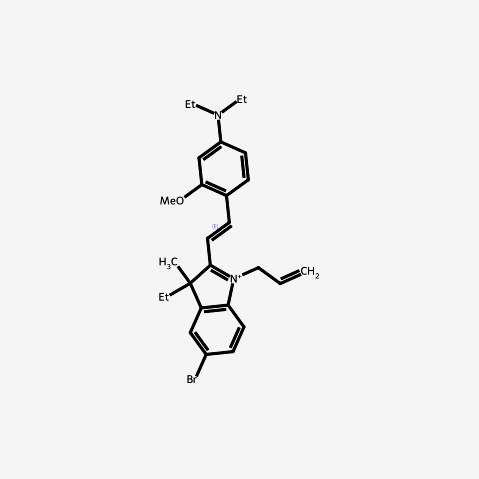 C=CC[N+]1=C(/C=C/c2ccc(N(CC)CC)cc2OC)C(C)(CC)c2cc(Br)ccc21